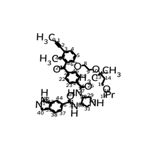 CC#Cc1ccc(OCCOC(C)(C)CCOC(C)C)c(C(=O)c2ccc(C(=O)N[C@@H]3CNC[C@@H]3NC(=O)c3ccc4cn[nH]c4c3)cc2)c1C